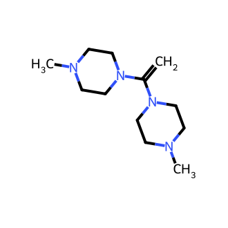 C=C(N1CCN(C)CC1)N1CCN(C)CC1